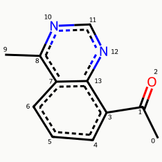 CC(=O)c1cccc2c(C)ncnc12